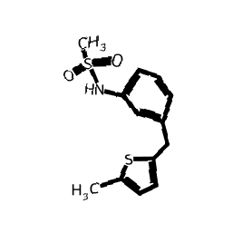 Cc1ccc(Cc2cccc(NS(C)(=O)=O)c2)s1